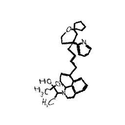 CC(N1CCc2cccc3c2C1CCC3CCCC[C@@]1(c2ccccn2)CCOC2(CCCC2)C1)C(C)(C)O